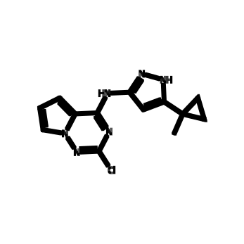 CC1(c2cc(Nc3nc(Cl)nn4cccc34)n[nH]2)CC1